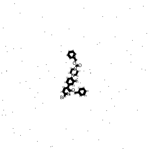 O=C(OCc1ccccc1)N1CCN(c2ccc(-c3ccc(Br)nc3OCc3ccccc3)cc2F)CC1